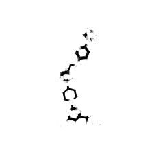 COC(=O)c1cc(C)nc(N2CCC(n3ncc(COc4ccc(-n5cnnn5)nc4)n3)CC2)n1